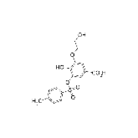 Cc1ccc(S(=O)(=O)Oc2cc(C(=O)O)cc(OCCO)c2O)cc1